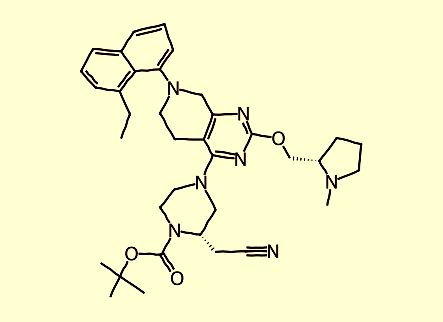 CCc1cccc2cccc(N3CCc4c(nc(OC[C@@H]5CCCN5C)nc4N4CCN(C(=O)OC(C)(C)C)[C@@H](CC#N)C4)C3)c12